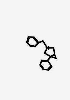 c1ccc(CN2CC3CC3(c3ccccc3)C2)cc1